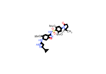 COc1cc2c(NS(=O)(=O)c3c(OC)cc(N4C(=O)CCC4(C)C)cc3OC)noc2cc1Nc1cc(C2CC2)n[nH]1